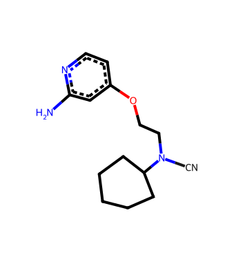 N#CN(CCOc1ccnc(N)c1)C1CCCCC1